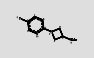 CNC1CN(c2ccc(F)cn2)C1